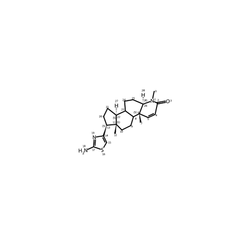 CN1C(=O)C=C[C@]2(C)C3CC[C@]4(C)[C@@H](c5csc(N)n5)CC[C@H]4C3CC[C@@H]12